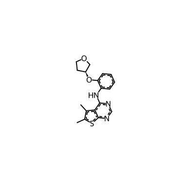 Cc1sc2ncnc(Nc3ccccc3O[C@H]3CCOC3)c2c1C